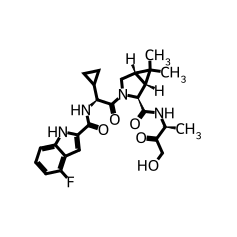 C[C@H](NC(=O)[C@@H]1[C@@H]2[C@H](CN1C(=O)[C@@H](NC(=O)c1cc3c(F)cccc3[nH]1)C1CC1)C2(C)C)C(=O)CO